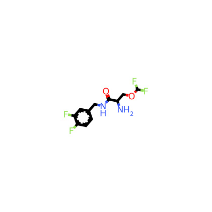 NC(COC(F)F)C(=O)NCc1ccc(F)c(F)c1